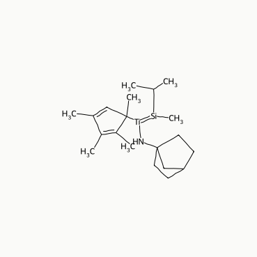 CC1=C[C](C)([Ti]([NH]C23CCC(CC2)C3)=[Si](C)C(C)C)C(C)=C1C